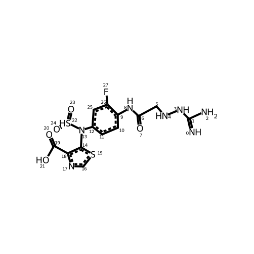 N=C(N)NNCC(=O)Nc1ccc(N(c2scnc2C(=O)O)[SH](=O)=O)cc1F